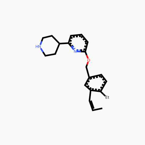 C/C=C\c1cc(COc2cccc(C3CCNCC3)n2)ccc1CC